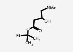 CCC(C)(C)OC(=O)CC(O)CNC